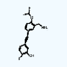 NCc1cc(C#Cc2ccc(F)c(O)c2)ccc1OC(F)F